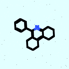 c1ccc(-c2nc3c(c4c2CCCC4)CCCC3)cc1